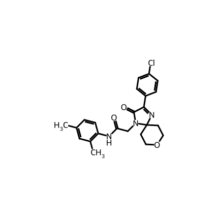 Cc1ccc(NC(=O)CN2C(=O)C(c3ccc(Cl)cc3)=NC23CCOCC3)c(C)c1